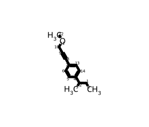 CCC(C)c1ccc(C#CCOC)cc1